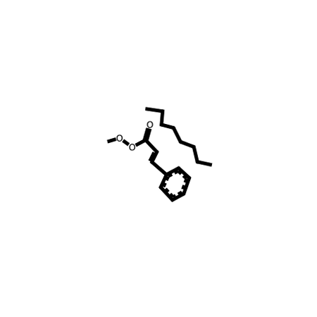 CCCCCCCC.COOC(=O)C=Cc1ccccc1